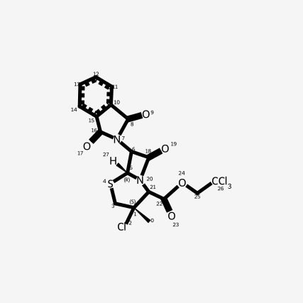 C[C@@]1(Cl)CS[C@@H]2C(N3C(=O)c4ccccc4C3=O)C(=O)N2C1C(=O)OCC(Cl)(Cl)Cl